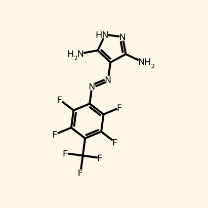 Nc1n[nH]c(N)c1N=Nc1c(F)c(F)c(C(F)(F)F)c(F)c1F